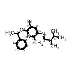 Cc1nc(OC(C)c2ccccc2)c(Br)cc1/N=C/N(C)C(C)C